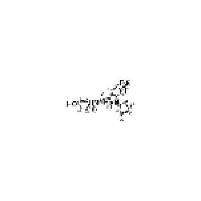 C/C(NNC(=O)c1ccc(O)cc1)=C1/C(=O)N(c2cc(C)cc(C)c2)c2cc(C(F)(F)F)ccc21